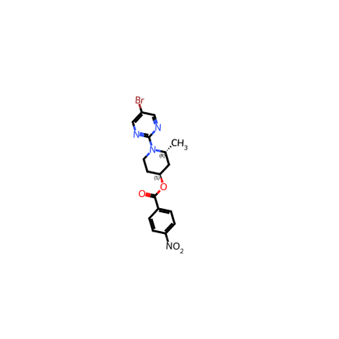 C[C@@H]1C[C@@H](OC(=O)c2ccc([N+](=O)[O-])cc2)CCN1c1ncc(Br)cn1